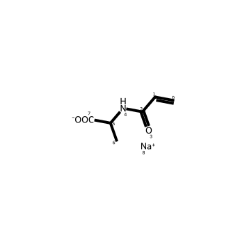 C=CC(=O)NC(C)C(=O)[O-].[Na+]